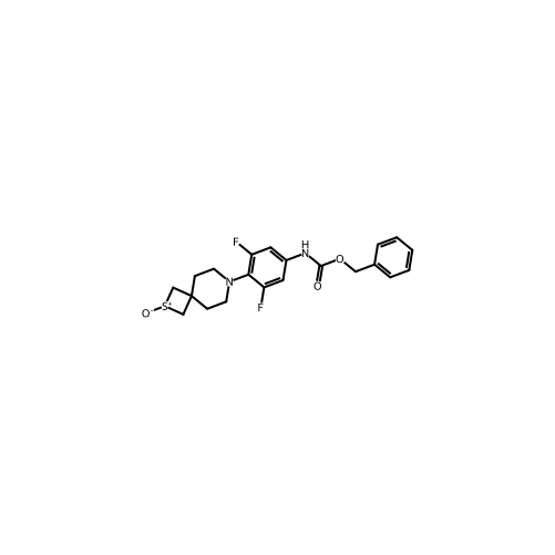 O=C(Nc1cc(F)c(N2CCC3(CC2)C[S+]([O-])C3)c(F)c1)OCc1ccccc1